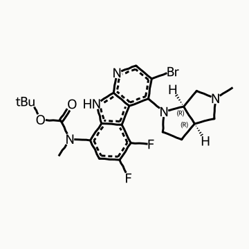 CN1C[C@H]2CCN(c3c(Br)cnc4[nH]c5c(N(C)C(=O)OC(C)(C)C)cc(F)c(F)c5c34)[C@H]2C1